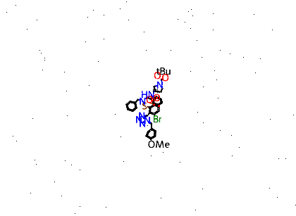 COc1ccc(Cn2nnnc2-c2c(Br)ccc(S(=O)(=O)N[C@@H]3CCN(C(=O)OC(C)(C)C)C3)c2SN(Cc2ccccc2)Cc2ccccc2)cc1